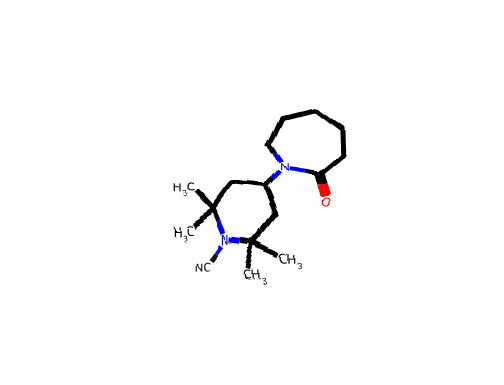 CC1(C)CC(N2CCCCCC2=O)CC(C)(C)N1C#N